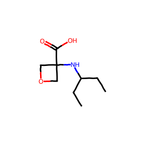 CCC(CC)NC1(C(=O)O)COC1